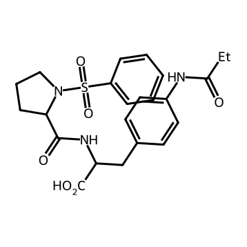 CCC(=O)Nc1ccc(CC(NC(=O)C2CCCN2S(=O)(=O)c2ccccc2)C(=O)O)cc1